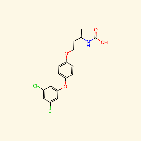 CC(CCOc1ccc(Oc2cc(Cl)cc(Cl)c2)cc1)NC(=O)O